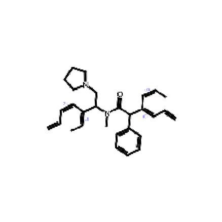 C=C/C=C\C(=C/C)C(CN1CCCC1)N(C)C(=O)C(C(/C=C\C)=C/C=C)c1ccccc1